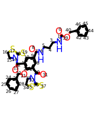 O=C(NCCCNC(=O)c1cc(C(=O)N2CCSC2=S)c(OCc2ccccc2)c(C(=O)N2CCSC2=S)c1)OCc1ccccc1